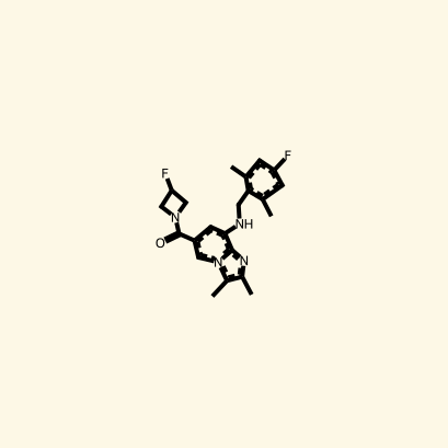 Cc1cc(F)cc(C)c1CNc1cc(C(=O)N2CC(F)C2)cn2c(C)c(C)nc12